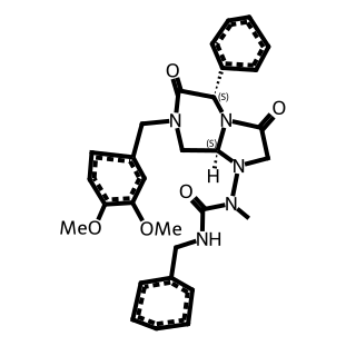 COc1ccc(CN2C[C@H]3N(C(=O)CN3N(C)C(=O)NCc3ccccc3)[C@@H](c3ccccc3)C2=O)cc1OC